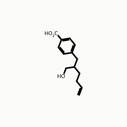 C=CCCC(CO)Cc1ccc(C(=O)O)cc1